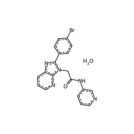 O.O=C(Cn1c(-c2ccc(Br)cc2)nc2cccnc21)Nc1cccnc1